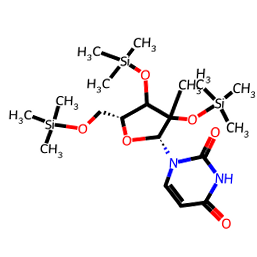 CC1(O[Si](C)(C)C)C(O[Si](C)(C)C)[C@@H](CO[Si](C)(C)C)O[C@H]1n1ccc(=O)[nH]c1=O